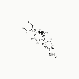 Br.CCN(CC)c1ccc(-c2coc(N)n2)cc1